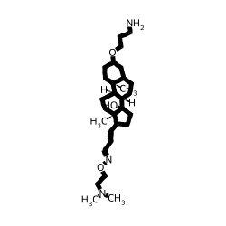 CN(C)CCO/N=C/C=CC1CC[C@@]2(O)[C@@H]3CCC4CC(OCCCN)CC[C@]4(C)[C@@H]3CC[C@]12C